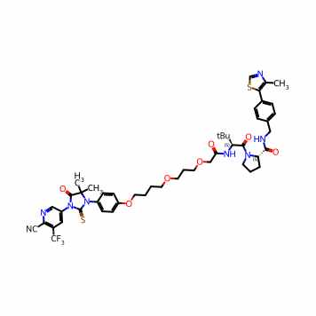 Cc1ncsc1-c1ccc(CNC(=O)[C@@H]2CCCN2C(=O)[C@@H](NC(=O)COCCCOCCCCOc2ccc(N3C(=S)N(c4cnc(C#N)c(C(F)(F)F)c4)C(=O)C3(C)C)cc2)C(C)(C)C)cc1